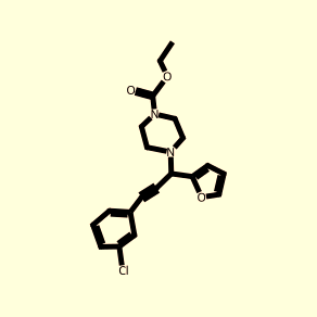 CCOC(=O)N1CCN(C(C#Cc2cccc(Cl)c2)c2ccco2)CC1